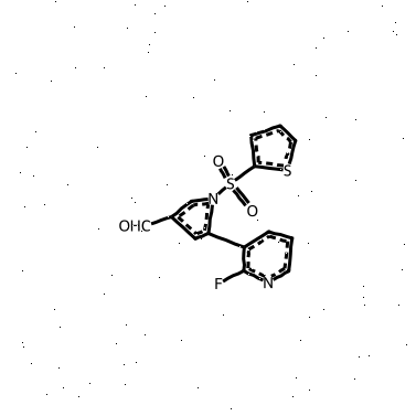 O=Cc1cc(-c2cccnc2F)n(S(=O)(=O)c2cccs2)c1